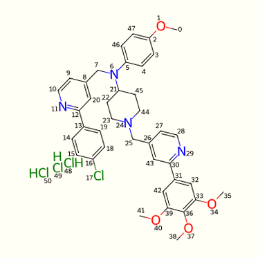 COc1ccc(N(Cc2ccnc(-c3ccc(Cl)cc3)c2)C2CCN(Cc3ccnc(-c4cc(OC)c(OC)c(OC)c4)c3)CC2)cc1.Cl.Cl.Cl